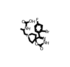 CC(CN1CCC2(CC1)OC(=O)NN=C2c1ccc(F)cc1Br)NC(=O)O